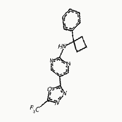 FC(F)(F)c1nnc(-c2cnc(NC3(c4ccccc4)CCC3)nc2)o1